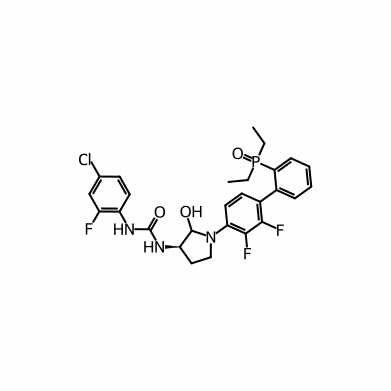 CCP(=O)(CC)c1ccccc1-c1ccc(N2CC[C@@H](NC(=O)Nc3ccc(Cl)cc3F)C2O)c(F)c1F